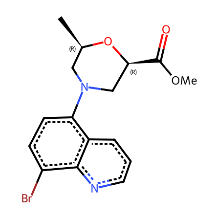 COC(=O)[C@H]1CN(c2ccc(Br)c3ncccc23)C[C@@H](C)O1